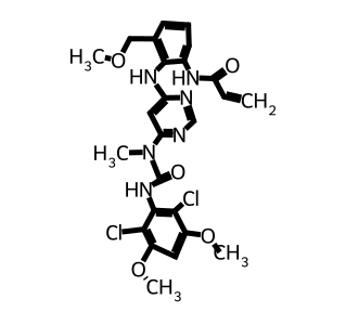 C=CC(=O)Nc1cccc(COC)c1Nc1cc(N(C)C(=O)Nc2c(Cl)c(OC)cc(OC)c2Cl)ncn1